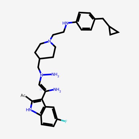 CC(=O)c1[nH]c2ccc(F)cc2c1/C(N)=C/N(N)CC1CCN(CCNc2ccc(CC3CC3)cc2)CC1